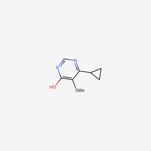 CSc1c(O)ncnc1C1CC1